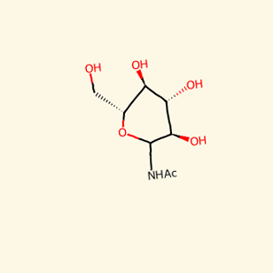 CC(=O)NC1O[C@H](CO)[C@@H](O)[C@H](O)[C@H]1O